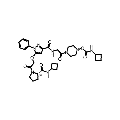 O=C(NC1CCC1)ON1CCN(C(=O)CNC(=O)c2cc(OCC(=O)N3CCC[C@H]3C(=O)NC3CCC3)n(-c3ccccc3)n2)CC1